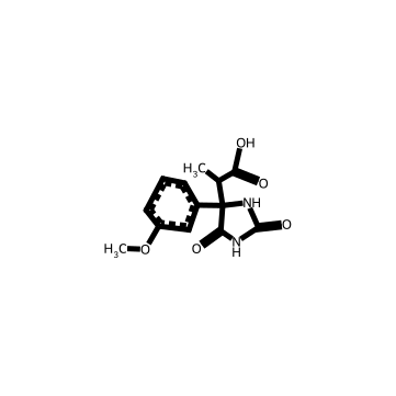 COc1cccc(C2(C(C)C(=O)O)NC(=O)NC2=O)c1